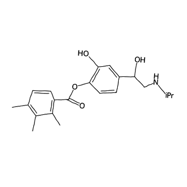 Cc1ccc(C(=O)Oc2ccc(C(O)CNC(C)C)cc2O)c(C)c1C